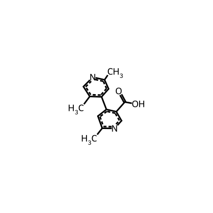 Cc1cc(-c2cc(C)ncc2C(=O)O)c(C)cn1